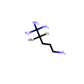 CCCCC(CC)(CCCN)C(N)(N)N